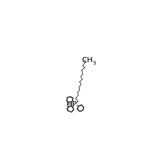 CCCCCCCCCCCCCCCC[PH](c1ccccc1)(c1ccccc1)c1ccccc1